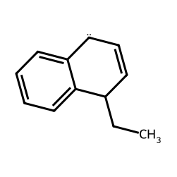 CCC1C=C[C]c2ccccc21